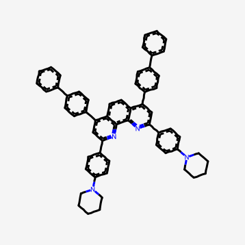 c1ccc(-c2ccc(-c3cc(-c4ccc(N5CCCCC5)cc4)nc4c3ccc3c(-c5ccc(-c6ccccc6)cc5)cc(-c5ccc(N6CCCCC6)cc5)nc34)cc2)cc1